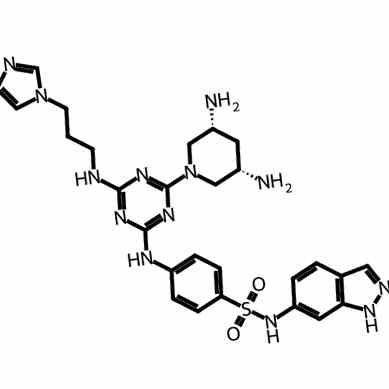 N[C@@H]1C[C@H](N)CN(c2nc(NCCCn3ccnc3)nc(Nc3ccc(S(=O)(=O)Nc4ccc5cn[nH]c5c4)cc3)n2)C1